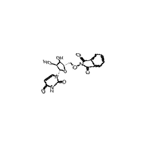 O=C1c2ccccc2C(=O)N1OC[C@@H]1O[C@H](n2ccc(=O)[nH]c2=O)C(O)C1O